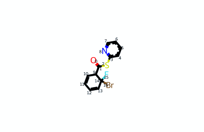 O=C(Sc1ccccn1)C1C=CC=CC1(F)Br